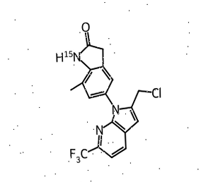 Cc1cc(-n2c(CCl)cc3ccc(C(F)(F)F)nc32)cc2c1[15NH]C(=O)C2